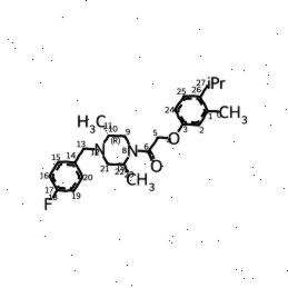 Cc1cc(OCC(=O)N2C[C@@H](C)N(Cc3ccc(F)cc3)C[C@@H]2C)ccc1C(C)C